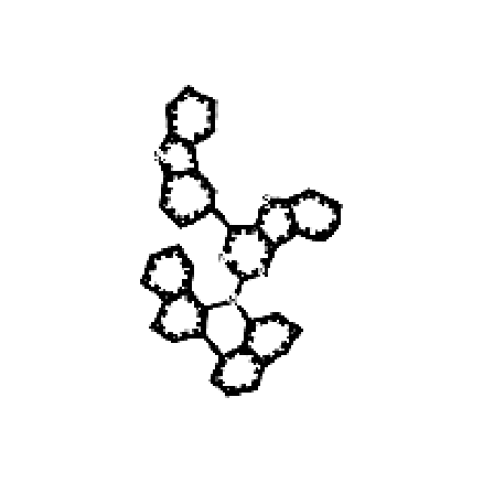 c1ccc2c3c(ccc2c1)-c1cccc2cccc(c12)N3c1nc(-c2ccc3sc4ccccc4c3c2)c2sc3ccccc3c2n1